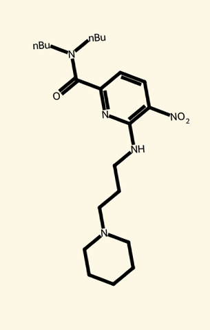 CCCCN(CCCC)C(=O)c1ccc([N+](=O)[O-])c(NCCCN2CCCCC2)n1